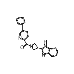 O=C(c1ccc(-c2ccccc2)cn1)N1CC(c2nc3ccccc3[nH]2)C1